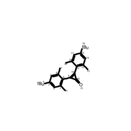 Cc1cc(C(C)(C)C)cc(C)c1-c1c(-c2c(C)cc(C(C)(C)C)cc2C)c1=O